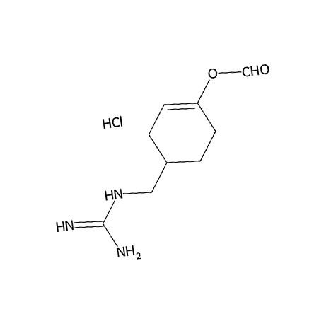 Cl.N=C(N)NCC1CC=C(OC=O)CC1